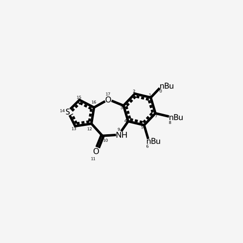 CCCCc1cc2c(c(CCCC)c1CCCC)NC(=O)c1cscc1O2